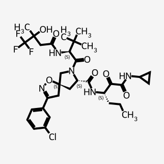 CCC[C@H](NC(=O)[C@@H]1C[C@]2(CC(c3cccc(Cl)c3)=NO2)CN1C(=O)[C@@H](NC(=O)CC(C)(O)C(F)(F)F)C(C)(C)C)C(=O)C(=O)NC1CC1